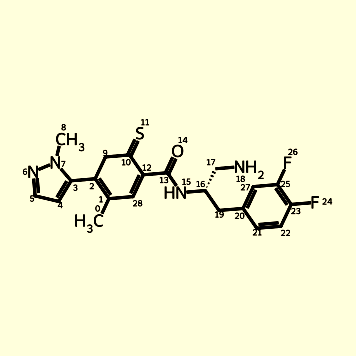 CC1=C(c2ccnn2C)CC(=S)C(C(=O)N[C@H](CN)Cc2ccc(F)c(F)c2)=C1